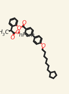 CCCCCOC(=O)C(C)c1ccccc1OC(=O)c1ccc(-c2ccc(OCCCCCCCC3CCCC3)cc2)cc1